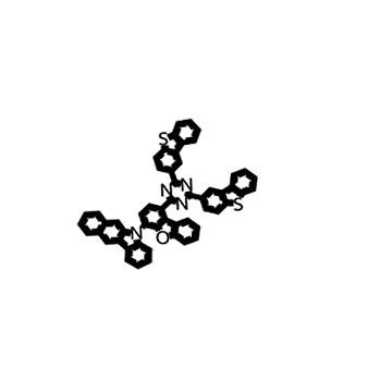 c1ccc2cc3c(cc2c1)c1ccccc1n3-c1ccc(-c2nc(-c3ccc4sc5ccccc5c4c3)nc(-c3ccc4sc5ccccc5c4c3)n2)c2c1oc1ccccc12